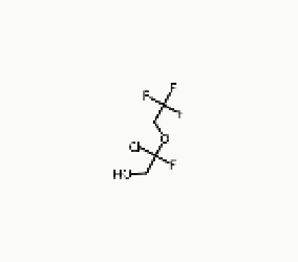 OCC(F)(Cl)OCC(F)(F)F